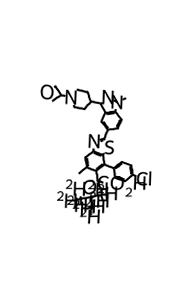 [2H]C([2H])([2H])C(OC(C(=O)O)c1c(C)cc2nc(-c3ccc4c(c3)c(C3CCN(C5COC5)CC3)nn4C)sc2c1-c1ccc(Cl)cc1)(C([2H])([2H])[2H])C([2H])([2H])[2H]